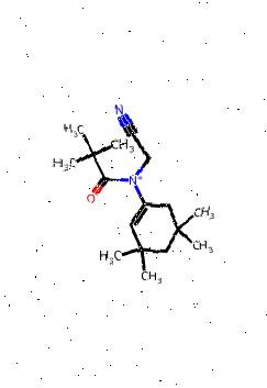 CC1(C)C=C([N+](CC#N)C(=O)C(C)(C)C)CC(C)(C)C1